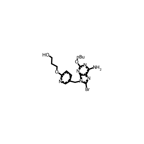 CCCCOc1nc(N)c2nc(Br)n(Cc3ccc(OCCCO)nc3)c2n1